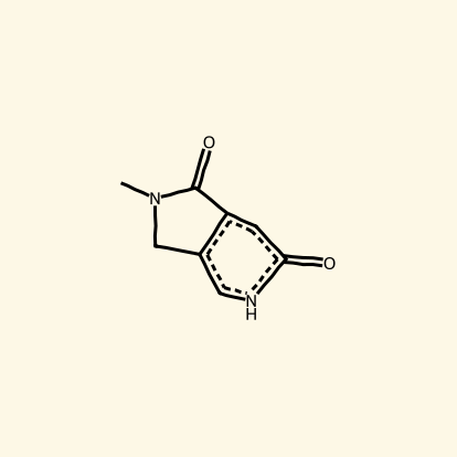 CN1Cc2c[nH]c(=O)cc2C1=O